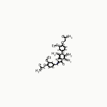 CCOc1cc(/C=c2\sc3n(c2=O)C(N)=C(N)C(c2ccc(OCC(N)=O)c(OCC)c2)C=3N)ccc1OCC(N)=O